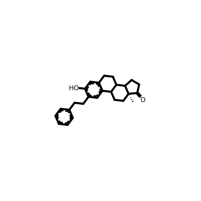 C[C@]12CCC3c4cc(CCc5ccccc5)c(O)cc4CCC3C1CCC2=O